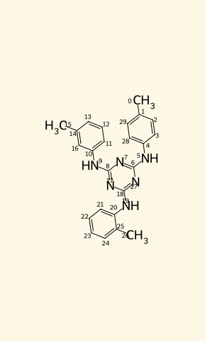 Cc1ccc(Nc2nc(Nc3cccc(C)c3)nc(Nc3ccccc3C)n2)cc1